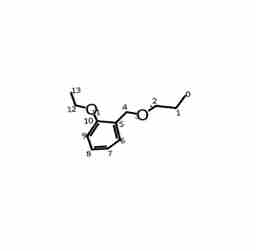 CC[CH]OCc1ccccc1OCC